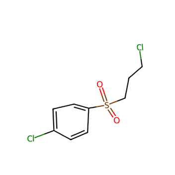 O=S(=O)(CCCCl)c1ccc(Cl)cc1